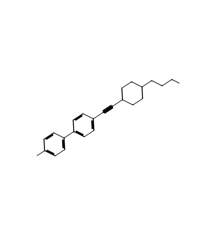 OCCCC1CCC(C#Cc2ccc(-c3ccc(F)cc3)cc2)CC1